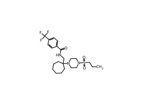 CCCS(=O)(=O)N1CCN(C2(CNC(=O)c3ccc(C(F)(F)F)cc3)CCCCCC2)CC1